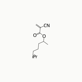 C=C(C#N)C(=O)OC(C)CCCC(C)C